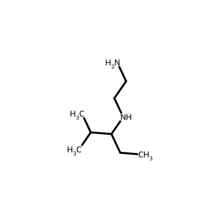 CCC(NCCN)C(C)C